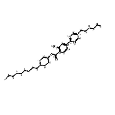 CCCCCCCCCC1CCC(OC(=O)c2ccc(-c3ncc(CCCCCC)cn3)cc2F)CC1